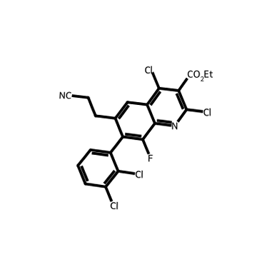 CCOC(=O)c1c(Cl)nc2c(F)c(-c3cccc(Cl)c3Cl)c(CCC#N)cc2c1Cl